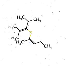 CC/C=C(/C)SC(=C(C)C)C(C)C